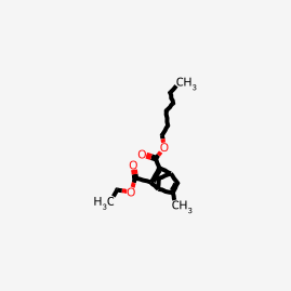 CCCCCCOC(=O)C1=C(C(=O)OCC)C2CC1C=C2C